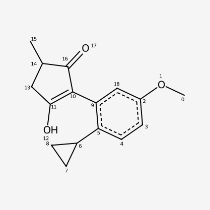 COc1ccc(C2CC2)c(C2=C(O)CC(C)C2=O)c1